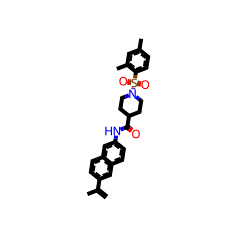 C=C(C)c1ccc2cc(NC(=O)C3CCN(S(=O)(=O)c4ccc(C)cc4C)CC3)ccc2c1